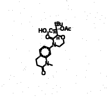 CC(=O)O[C@@](C(=O)O)([C@H]1OCCN(c2ccc3c(c2)N(C)C(=O)CC3)C1=O)C(C)(C)C